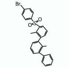 Cc1c(-c2ccccc2)cccc1-c1cccc(S(=O)(=O)c2ccc(Br)cc2)c1C